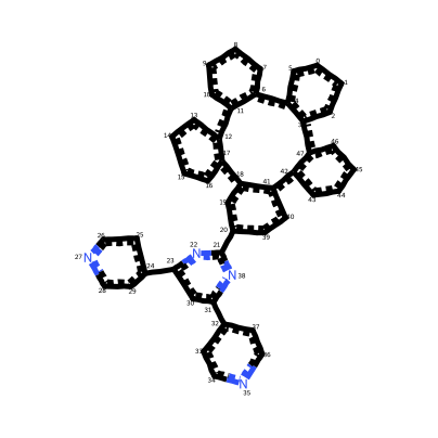 c1ccc2c(c1)c1ccccc1c1ccccc1c1cc(-c3nc(-c4ccncc4)cc(-c4ccncc4)n3)ccc1c1ccccc21